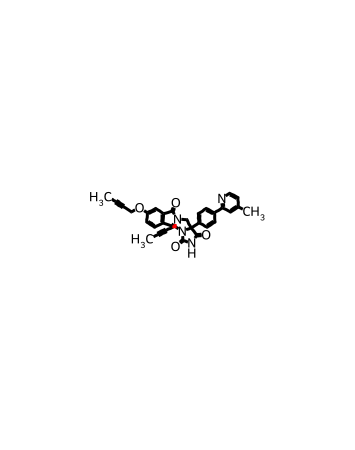 CC#CCOc1ccc2c(c1)C(=O)N(CC1(c3ccc(-c4cc(C)ccn4)cc3)C(=O)NC(=O)N1CC#CC)C2